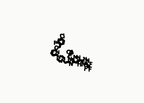 Fc1cc(Cl)ccc1COc1cccc(N2CCN(Cc3nc4cc(-c5nnc(C(F)(F)F)[nH]5)nnc4n3C[C@@H]3CCO3)CC2)n1